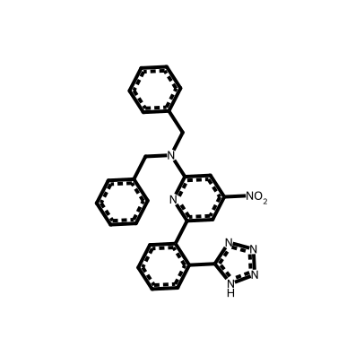 O=[N+]([O-])c1cc(-c2ccccc2-c2nnn[nH]2)nc(N(Cc2ccccc2)Cc2ccccc2)c1